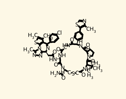 Cc1ncsc1-c1ccc([C@H]2NC(=O)[C@@H]3CCCN3C(=O)C(C(C)(C)C)NC(=O)CSC[C@H](C(N)=O)NC(=O)[C@H](NC(=O)C[C@@H]3N=C(c4ccc(Cl)cc4)c4c(sc(C)c4C)-n4c(C)nnc43)NC(=O)CNC2=O)cc1